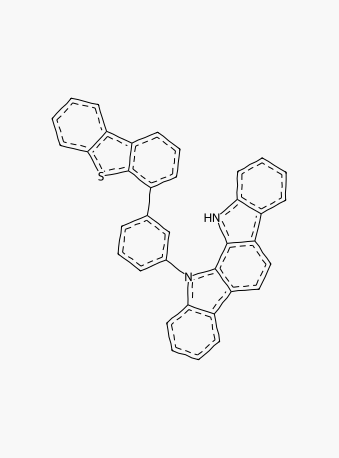 c1cc(-c2cccc3c2sc2ccccc23)cc(-n2c3ccccc3c3ccc4c5ccccc5[nH]c4c32)c1